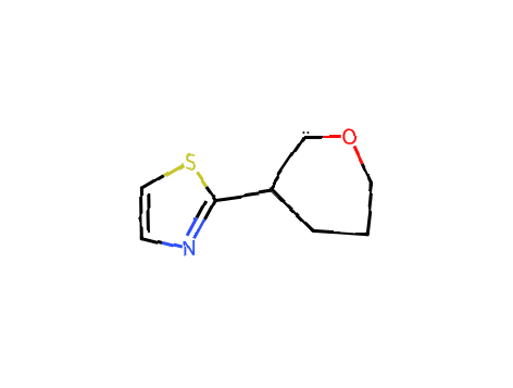 [C]1OCCCC1c1nccs1